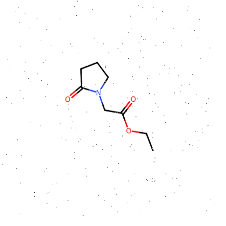 CCOC(=O)CN1CCCC1=O